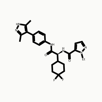 CCn1nccc1C(=O)N[C@H](C(=O)Nc1ccc(-c2c(C)n[nH]c2C)cc1)C1CCC(F)(F)CC1